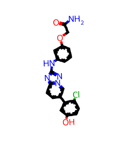 NC(=O)COc1cccc(Nc2nc3ccc(-c4cc(O)ccc4Cl)cn3n2)c1